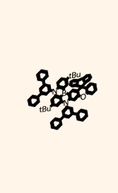 CC(C)(C)c1ccc2c(c1)B1c3cc4c(cc3N(c3cc(-c5ccccc5)cc(-c5ccccc5)c3)c3cc(C(C)(C)C)cc(c31)N2c1cc(-c2ccccc2)cc(-c2ccccc2)c1)Oc1ccccc1C41c2ccccc2-c2ccccc21